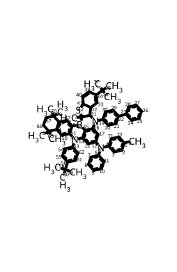 Cc1ccc(N(c2ccccc2)c2cc3c4c(c2)N(c2ccc(-c5ccccc5)cc2)C2C5C=C(C(C)(C)C)C=CC5SC2(C)B4c2cc4c(cc2N3c2ccc(C(C)(C)C)cc2)C(C)(C)CCC4(C)C)cc1